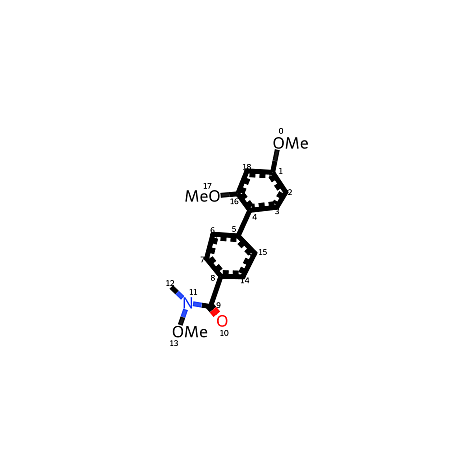 COc1ccc(-c2ccc(C(=O)N(C)OC)cc2)c(OC)c1